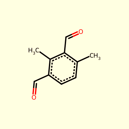 Cc1ccc(C=O)c(C)c1C=O